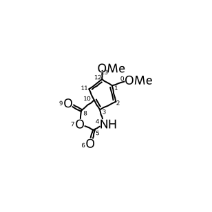 COc1cc2[nH]c(=O)oc(=O)c2cc1OC